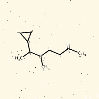 CNCCN(C)C(C)C1CC1